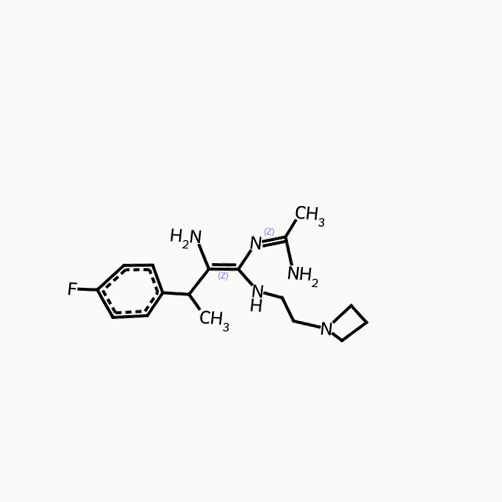 C/C(N)=N/C(NCCN1CCC1)=C(\N)C(C)c1ccc(F)cc1